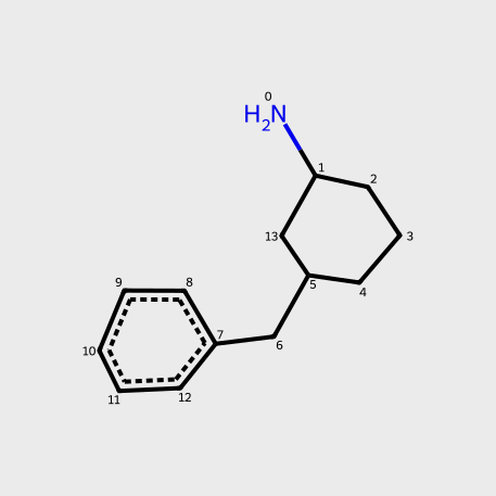 NC1CCCC(Cc2ccccc2)C1